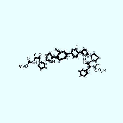 COC(=O)N[C@@H](C)C(=O)N1CCC[C@H]1c1ncc(-c2ccc(-c3ccc(-c4cnc([C@@H]5CCCN5C(=O)[C@@H](c5ccccc5)N(C)C(=O)O)[nH]4)c(F)c3)cc2F)[nH]1